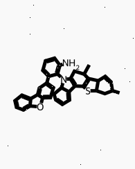 CC1C=CC2C3=C(SC2C1)C1=C(CC3C)N(c2c(N)cccc2-c2ccc3oc4ccccc4c3c2)C2CC=CC=C12